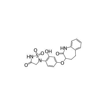 O=C1CN(c2ccc(OC3CCc4ccccc4NC3=O)cc2O)S(=O)(=O)N1